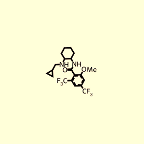 COc1cc(C(F)(F)F)cc(C(F)(F)F)c1C(=O)NC1CCCCC1NCC1CC1